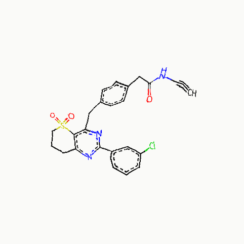 C#CNC(=O)Cc1ccc(Cc2nc(-c3cccc(Cl)c3)nc3c2S(=O)(=O)CCC3)cc1